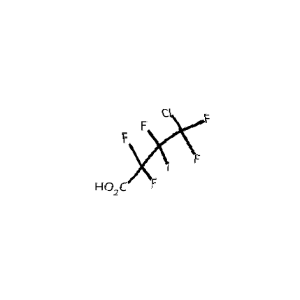 O=C(O)C(F)(F)C(F)(I)C(F)(F)Cl